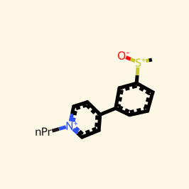 CCC[n+]1ccc(-c2cccc([S+](C)[O-])c2)cc1